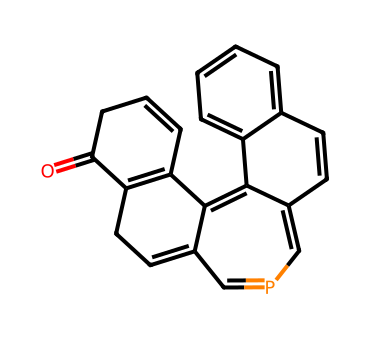 O=C1CC=CC2=C1CC=C1C=PC=c3ccc4ccccc4c3=C12